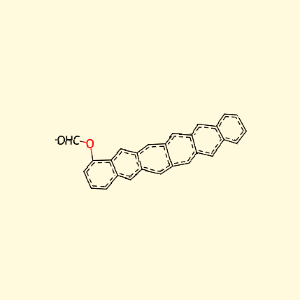 O=[C]Oc1cccc2cc3cc4cc5cc6ccccc6cc5cc4cc3cc12